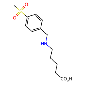 CS(=O)(=O)c1ccc(CNCCCCC(=O)O)cc1